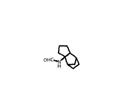 O=CNC12CCCC1C1CCC2C1